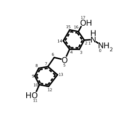 NNc1cc(OCc2ccc(O)cc2)ccc1O